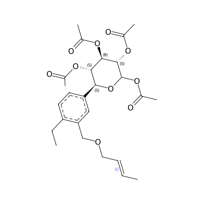 C/C=C/COCc1cc([C@@H]2OC(OC(C)=O)[C@@H](OC(C)=O)[C@H](OC(C)=O)[C@H]2OC(C)=O)ccc1CC